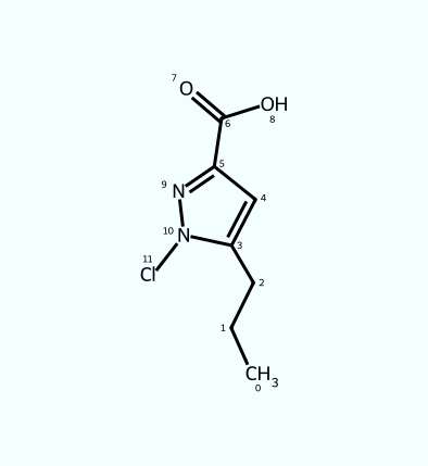 CCCc1cc(C(=O)O)nn1Cl